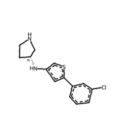 Clc1cccc(-c2cc(N[C@@H]3CCNC3)cs2)c1